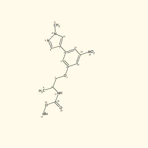 CC(COc1cc(-c2cnn(C)c2)cc([N+](=O)[O-])c1)NC(=O)OC(C)(C)C